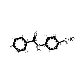 O=Cc1ccc(NC(=O)c2ccccc2)cc1